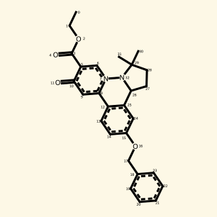 CCOC(=O)c1cn2c(cc1=O)-c1ccc(OCc3ccccc3)cc1C1CCC(C)(C)N12